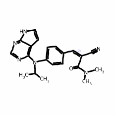 CC(C)N(c1ccc(/C=C(/C#N)C(=O)N(C)C)cc1)c1ncnc2[nH]ccc12